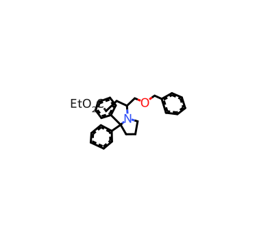 CCOC(=O)CCC(COCc1ccccc1)N1CCCC1(c1ccccc1)c1ccccc1